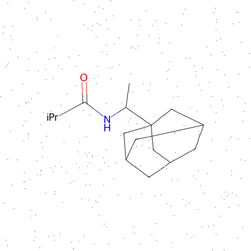 CC(C)C(=O)NC(C)C12CC3CC(CC(C3)C1)C2